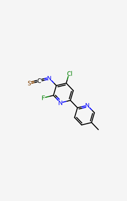 Cc1ccc(-c2cc(Cl)c(N=C=S)c(F)n2)nc1